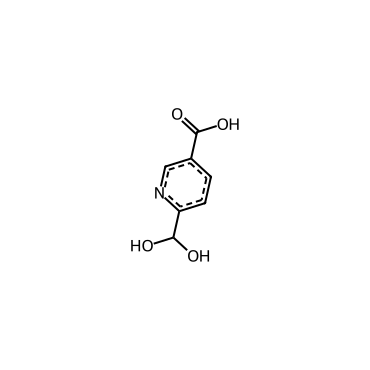 O=C(O)c1ccc(C(O)O)nc1